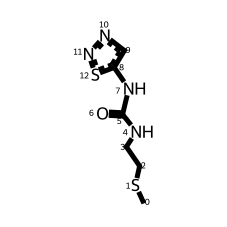 CSCCNC(=O)Nc1cnns1